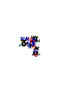 CC(O)CN1[C@@H]2CC[C@H]1CN(c1nc(OCC3(CN4C[C@@H](C)O[C@@H](C)C4)CC3)c3ncn(Cc4ccc(F)c5sc(N)c(C#N)c45)c3n1)C2